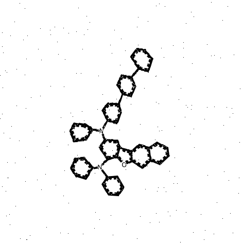 c1ccc(-c2ccc(-c3ccc(N(c4ccccc4)c4cc(N(c5ccccc5)c5ccccc5)c5oc6cc7ccccc7cc6c5c4)cc3)cc2)cc1